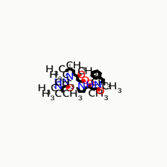 CC[C@H](C)CC(C(CC(=O)N1CCCC1C(OC)C(C)C(=O)NC(C)Cc1ccccc1)OC)N(C)CNC(=O)C(C(C)C)N(C)C